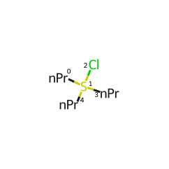 CCCS(Cl)(CCC)CCC